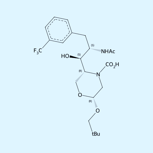 CC(=O)N[C@@H](Cc1cccc(C(F)(F)F)c1)[C@H](O)[C@H]1CO[C@@H](OCC(C)(C)C)CN1C(=O)O